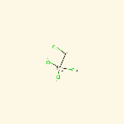 Cl[CH2][Sn]([Cl])([Cl])[Cl]